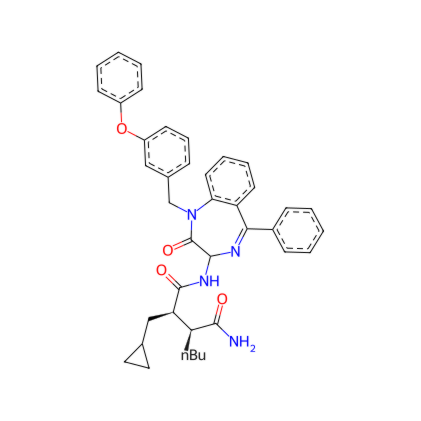 CCCC[C@H](C(N)=O)[C@@H](CC1CC1)C(=O)NC1N=C(c2ccccc2)c2ccccc2N(Cc2cccc(Oc3ccccc3)c2)C1=O